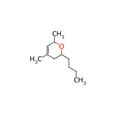 CCCCC1CC(C)=CC(C)O1